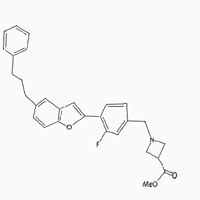 COC(=O)C1CN(Cc2ccc(-c3cc4cc(CCCc5ccccc5)ccc4o3)c(F)c2)C1